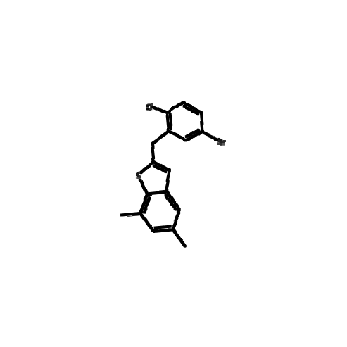 Cc1cc(C)c2sc(Cc3cc(Br)ccc3Cl)cc2c1